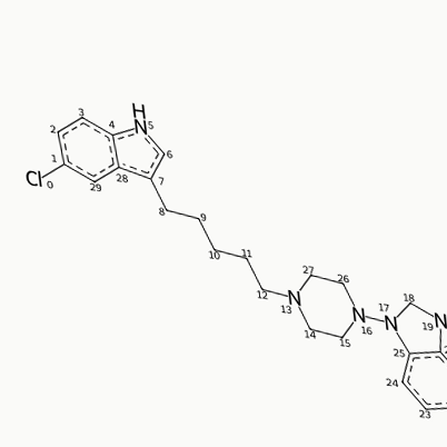 Clc1ccc2[nH]cc(CCCCCN3CCN(N4CNc5ncccc54)CC3)c2c1